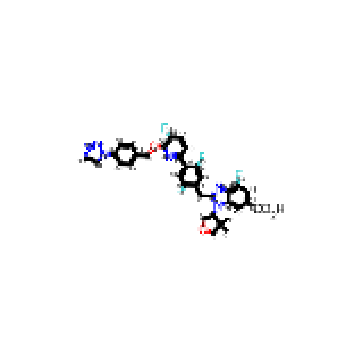 CC1(C)COC[C@H]1n1c(Cc2cc(F)c(-c3ccc(F)c(OCc4ccc(-n5ccnn5)cc4)n3)cc2F)nc2c(F)cc(C(=O)O)cc21